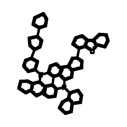 c1ccc(-c2ccc(-c3cccc(N(c4ccccc4-c4ccccc4N(c4ccc5cc(-c6cccc7c6oc6ccccc67)ccc5c4)c4cccc5ccccc45)c4cccc5ccccc45)c3)cc2)cc1